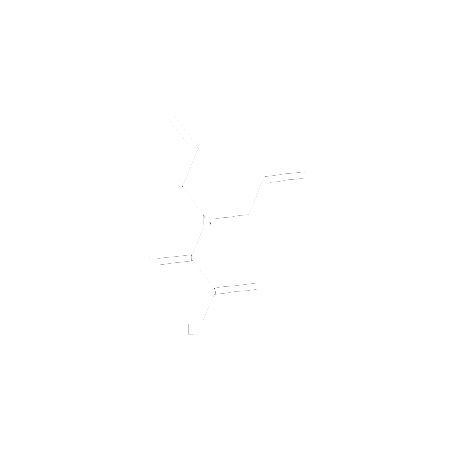 C=CCN(CC=C)C(=O)C(=C)CC